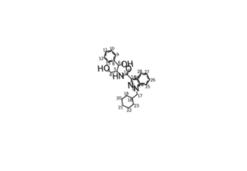 O=C(NC(CO)C(O)c1ccccc1)c1nn(CC2CCCCC2)c2ccccc12